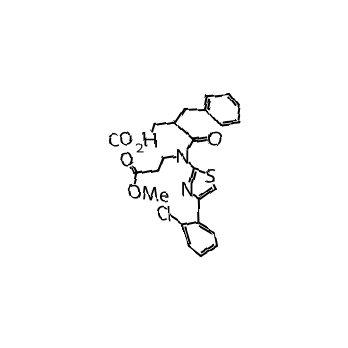 COC(=O)CCN(C(=O)C(CC(=O)O)Cc1ccccc1)c1nc(-c2ccccc2Cl)cs1